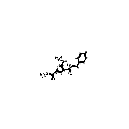 COC(=O)c1cc(C(=O)NCc2ccccc2)c(SC)s1